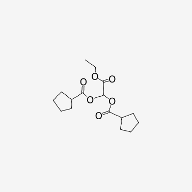 CCOC(=O)C(OC(=O)C1CCCC1)OC(=O)C1CCCC1